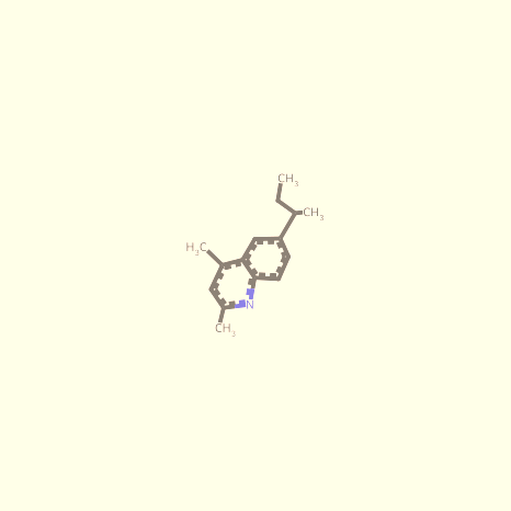 CCC(C)c1ccc2nc(C)cc(C)c2c1